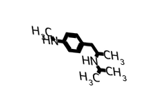 CNc1ccc(CC(C)NC(C)C)cc1